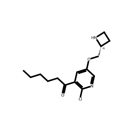 CCCCCC(=O)c1cc(OC[C@H]2CCN2)cnc1Cl